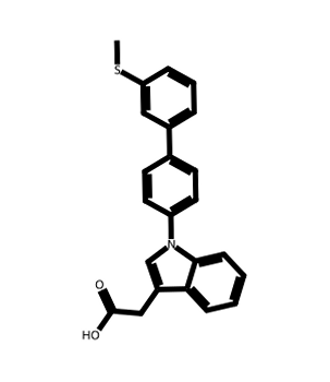 CSc1cccc(-c2ccc(-n3cc(CC(=O)O)c4ccccc43)cc2)c1